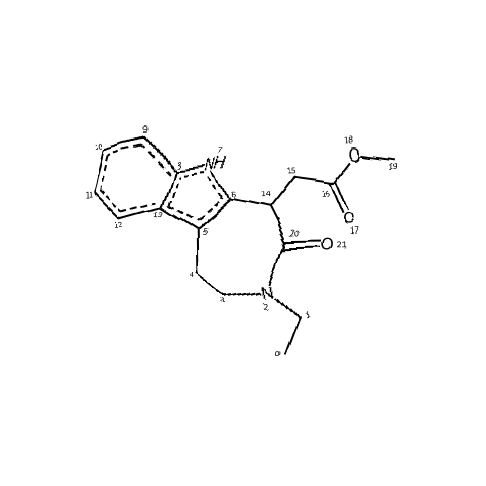 CCN1CCc2c([nH]c3ccccc23)C(CC(=O)OC)C1=O